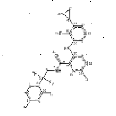 Cc1ccc(C(F)(F)CNC(=O)c2nc(C)ncc2Sc2cccc(C3CC3)c2F)c(C)c1